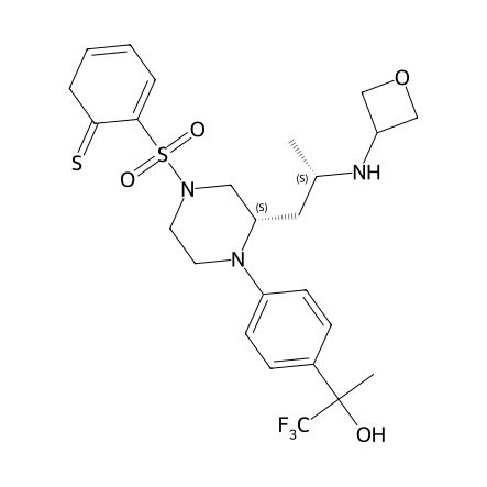 C[C@@H](C[C@H]1CN(S(=O)(=O)C2=CC=CCC2=S)CCN1c1ccc(C(C)(O)C(F)(F)F)cc1)NC1COC1